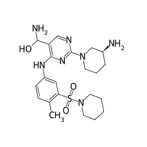 Cc1ccc(Nc2nc(N3CCC[C@H](N)C3)ncc2C(N)O)cc1S(=O)(=O)N1CCCCC1